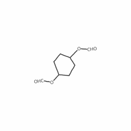 O=COC1CCC(OC=O)CC1